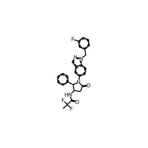 CC(F)(F)C(=O)NC1CC(=O)N(c2ccc3c(cnn3Cc3cccc(F)c3)c2)C1c1ccccc1